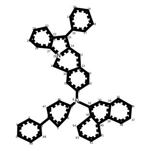 c1ccc(-c2ccc(N(c3ccc4cc5c(-c6ccccc6)c6ccccc6n5cc4c3)c3cc4ccccc4c4ccccc34)cc2)cc1